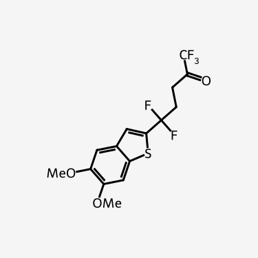 COc1cc2cc(C(F)(F)CCC(=O)C(F)(F)F)sc2cc1OC